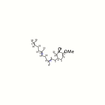 COC1=CCC(C/C=C(\C)CC/C=C(\C)CCC=C(C)C)C(C)C1=O